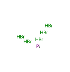 Br.Br.Br.Br.Br.[P]